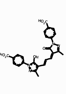 CC1=NN(c2ccc(C(=O)O)cc2)C(=O)/C1=C\C=Cc1c(C)nn(-c2ccc(C(=O)O)cc2)c1O